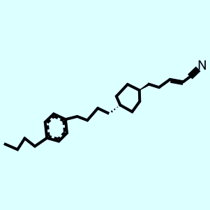 CCCCc1ccc(CCCC[C@H]2CC[C@H](CCC=CC#N)CC2)cc1